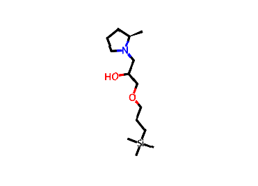 C[C@@H]1CCCN1CC(O)COCCC[Si](C)(C)C